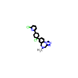 CN1Cc2cc(C3(Cl)CCC(c4cccc(Cl)n4)CC3)ccc2-n2cnnc2C1